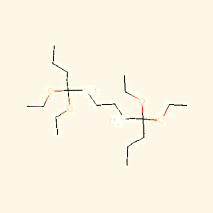 CCCC(OCC)(OCC)[SiH2]CC[SiH2]C(CCC)(OCC)OCC